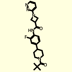 CC(C)(C)C(=O)N1CCC(c2ccc(NC(=O)C3CN(c4cccnn4)C3)c(F)c2)CC1